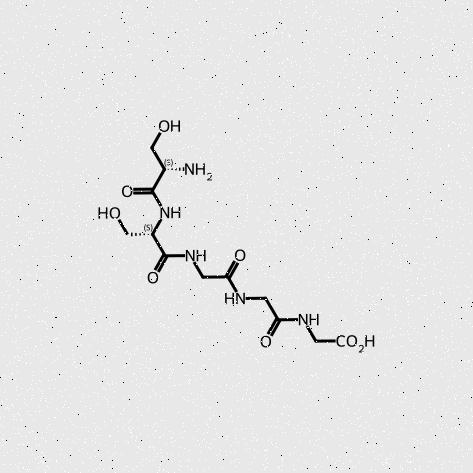 N[C@@H](CO)C(=O)N[C@@H](CO)C(=O)NCC(=O)NCC(=O)NCC(=O)O